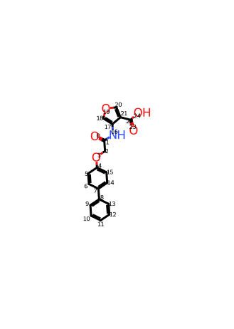 O=C(COc1ccc(-c2ccccc2)cc1)Nc1cocc1C(=O)O